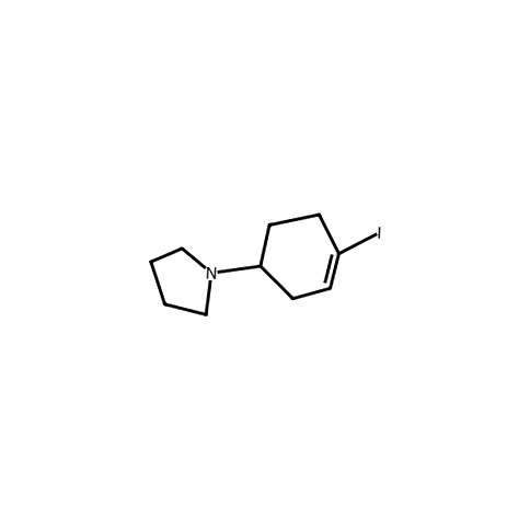 IC1=CCC(N2CCCC2)CC1